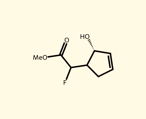 COC(=O)C(F)C1CC=C[C@H]1O